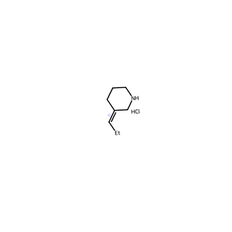 CC/C=C1/CCCNC1.Cl